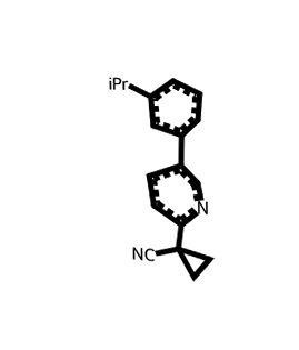 CC(C)c1cccc(-c2ccc(C3(C#N)CC3)nc2)c1